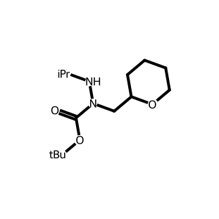 CC(C)NN(CC1CCCCO1)C(=O)OC(C)(C)C